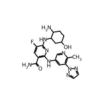 Cc1ncc(Nc2nc(NC3CC(O)CCC3N)c(F)cc2C(N)=O)cc1-n1nccn1